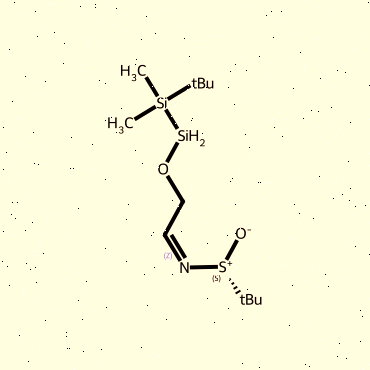 CC(C)(C)[S@@+]([O-])/N=C\CO[SiH2][Si](C)(C)C(C)(C)C